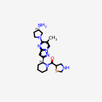 Cc1cn2nc([C@@H]3CCCCN3C(=O)C3CNCS3)cc2nc1N1CC[C@H](N)C1